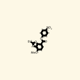 CCc1nc2c(OC)ccc(C(=O)Oc3ccc([N+](=O)[O-])cc3)c2o1